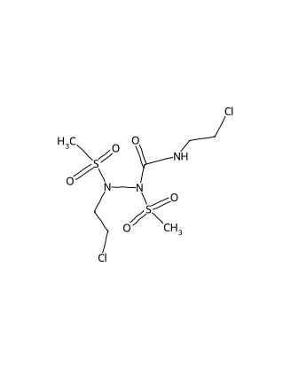 CS(=O)(=O)N(CCCl)N(C(=O)NCCCl)S(C)(=O)=O